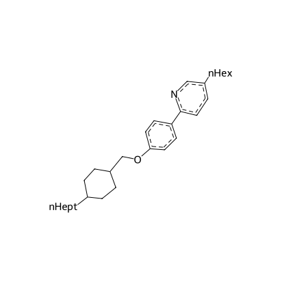 CCCCCCCC1CCC(COc2ccc(-c3ccc(CCCCCC)cn3)cc2)CC1